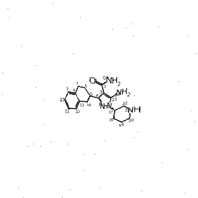 NC(=O)c1c(C2CCc3ccccc3C2)nn([C@@H]2CCCNC2)c1N